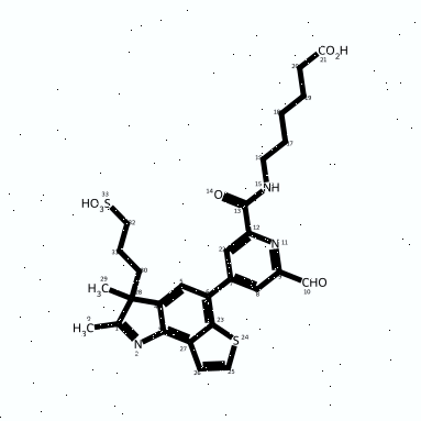 CC1=Nc2c(cc(-c3cc(C=O)nc(C(=O)NCCCCCC(=O)O)c3)c3sccc23)C1(C)CCCS(=O)(=O)O